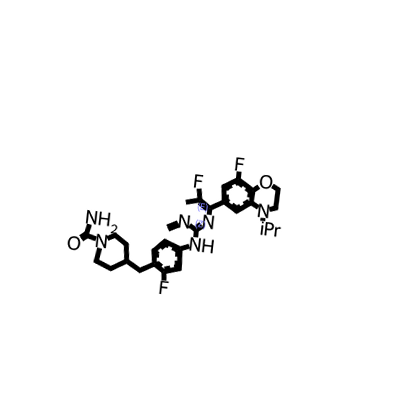 C=N/C(=N\C(=C(/C)F)c1cc(F)c2c(c1)N(C(C)C)CCO2)Nc1ccc(CC2CCN(C(N)=O)CC2)c(F)c1